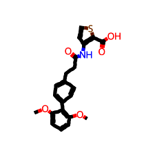 COc1cccc(OC)c1-c1ccc(CCC(=O)Nc2ccsc2C(=O)O)cc1